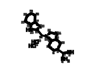 Cl.Cl.N=C(N)c1ccc2c(c1)ncn2Cc1nc2ccccc2[nH]1